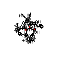 CCNCCOc1ccc(C(=O)NC(=O)C[C@@H]2CC(=O)[C@H](NC(=O)[C@H](CC)CC(C)C)[C@H](O)c3ccc(c(Cl)c3)Oc3cc4cc(c3O[C@@H]3O[C@@H]5CNC(=O)O[C@H]5[C@H](O)[C@H]3O)Oc3ccc(cc3Cl)[C@@H](O)[C@@H]3NC(=O)[C@H](CC(=O)[C@@H]4NC2=O)c2ccc(O)c(c2)-c2c(O)cc(O)cc2[C@@H](C(=O)CC2C4CC5CC(C4)CC2C5)NC3=O)cc1OCCNCC